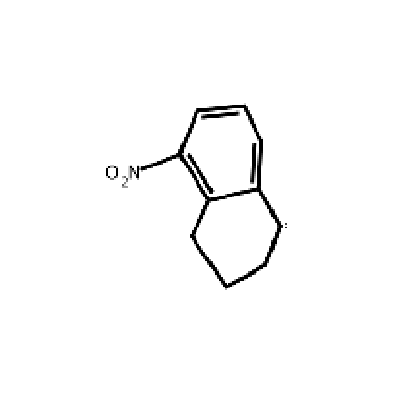 O=[N+]([O-])c1cccc2c1CCC[C]2